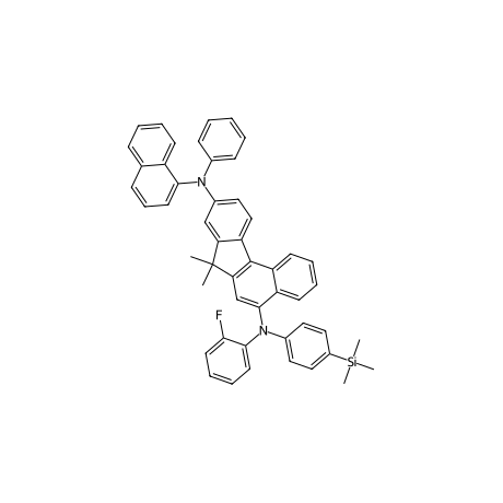 CC1(C)c2cc(N(c3ccccc3)c3cccc4ccccc34)ccc2-c2c1cc(N(c1ccc([Si](C)(C)C)cc1)c1ccccc1F)c1ccccc21